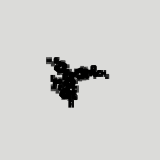 C=CC(=O)N1CC2(CCN(c3nc(C4CCN(C)CC4)nc4c(OCC(F)F)c(-c5c(C)ccc6[nH]ncc56)c(Cl)cc34)CC2)C1